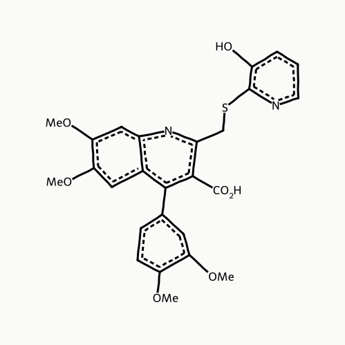 COc1ccc(-c2c(C(=O)O)c(CSc3ncccc3O)nc3cc(OC)c(OC)cc23)cc1OC